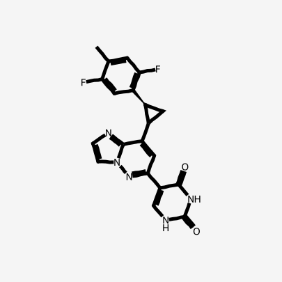 Cc1cc(F)c([C@H]2CC2c2cc(-c3c[nH]c(=O)[nH]c3=O)nn3ccnc23)cc1F